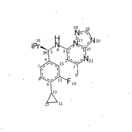 Cc1cc(N[C@@H](c2ccc(C3CC3)c(F)c2)C(C)C)n2ncnc2n1